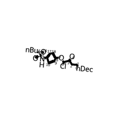 CCCCCCCCCCCCC(=O)C(Cl)Oc1ccc(NS(=O)(=O)CCCC)cc1